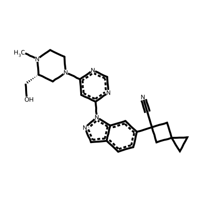 CN1CCN(c2cc(-n3ncc4ccc(C5(C#N)CC6(CC6)C5)cc43)ncn2)C[C@@H]1CO